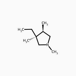 CC[C@]1(C)CN(C)C[C@@H]1C